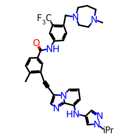 Cc1ccc(C(=O)Nc2ccc(CN3CCCN(C)CC3)c(C(F)(F)F)c2)cc1C#Cc1cnc2c(Nc3cnn(C(C)C)c3)cccn12